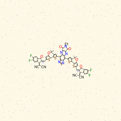 CCN1C(=O)c2nc3c(-c4cc5c(s4)-c4sc(/C=C6\C(=O)c7cc(F)c(F)cc7C6=C(C#N)C#N)cc4OC5(C)C)c4nsnc4c(-c4cc5c(s4)-c4sc(/C=C6\C(=O)c7cc(F)c(F)cc7C6=C(C#N)C#N)cc4OC5(C)C)c3nc2C1=O